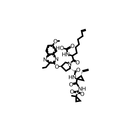 C=CCCCCCC(NC(=O)O)C(=O)N1C[C@H](Oc2nc3cc(OC)ccc3nc2CC)C[C@H]1C(=O)N[C@]1(C(=O)NS(=O)(=O)C2(C)CC2)C[C@H]1C=C